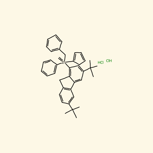 Cl.Cl.[CH2]=[Zr]([CH2]c1ccccc1)([C]1=CC=CC1)([c]1ccccc1)[c]1cc(C(C)(C)C)cc2c1Cc1ccc(C(C)(C)C)cc1-2